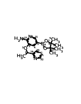 CC(Oc1cc(B2OC(C)(C)C(C)(C)O2)cnc1N)c1cscn1